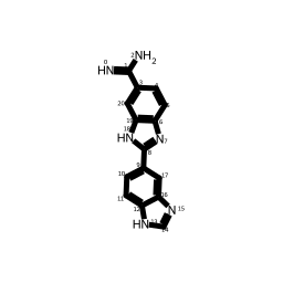 N=C(N)c1ccc2nc(-c3ccc4[nH]cnc4c3)[nH]c2c1